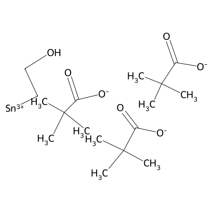 CC(C)(C)C(=O)[O-].CC(C)(C)C(=O)[O-].CC(C)(C)C(=O)[O-].OC[CH2][Sn+3]